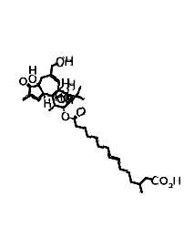 CC1=C[C@H]2[C@@]3(O)[C@H](C)[C@@H](OC(=O)CCCCCCCCCCCC(C)CC(=O)O)[C@]4(O)[C@@H]([C@@H]3C=C(CO)C[C@]2(O)C1=O)C4(C)C